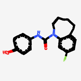 O=C(Nc1ccc(O)cc1)N1CCCCc2ccc(F)cc21